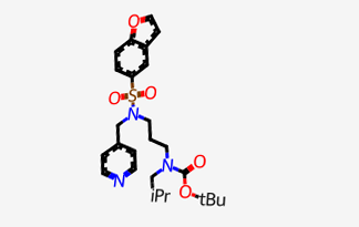 CC(C)CN(CCCN(Cc1ccncc1)S(=O)(=O)c1ccc2occc2c1)C(=O)OC(C)(C)C